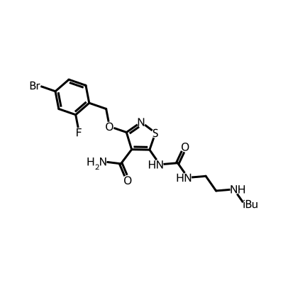 CCC(C)NCCNC(=O)Nc1snc(OCc2ccc(Br)cc2F)c1C(N)=O